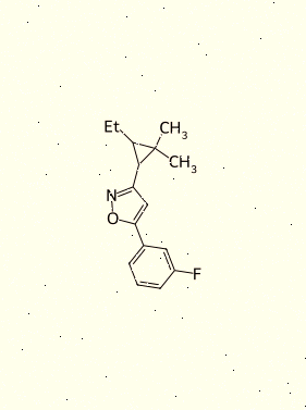 CCC1C(c2cc(-c3cccc(F)c3)on2)C1(C)C